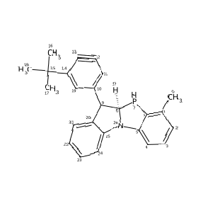 Cc1cccc2c1P[C@@H]1C(c3cc#cc(C(C)(C)C)c3)c3ccccc3N21